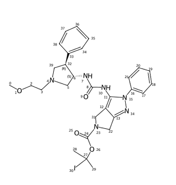 COCCN1C[C@@H](NC(=O)Nc2c3c(nn2-c2ccccc2)CN(C(=O)OC(C)(C)I)C3)[C@H](c2ccccc2)C1